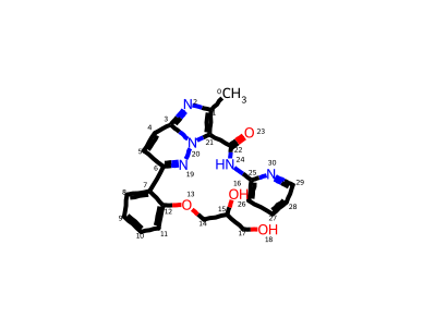 Cc1nc2ccc(-c3ccccc3OCC(O)CO)nn2c1C(=O)Nc1ccccn1